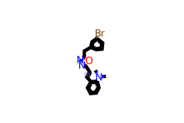 CN(C)c1ccccc1/C=C/c1nnc(Cc2cccc(Br)c2)o1